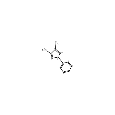 CC(=O)Oc1nn(-c2ccccc2)nc1C